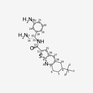 CC(C)(C)C1CCc2nc3sc(C(=O)N[C@H](CN)c4cccc(N)c4)cc3cc2C1